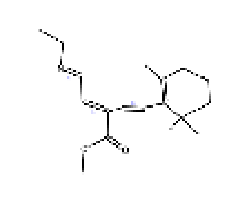 CC/N=C/C=C(\C=C\C1=C(C)CCCC1(C)C)C(=O)OC